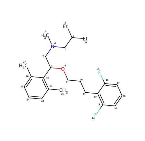 CCC(CC)CN(C)CC(OCCCc1c(F)cccc1F)c1c(C)cccc1C